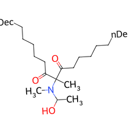 CCCCCCCCCCCCCCCC(=O)C(C)(C(=O)CCCCCCCCCCCCCCC)N(C)C(C)O